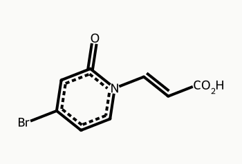 O=C(O)/C=C/n1ccc(Br)cc1=O